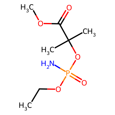 CCOP(N)(=O)OC(C)(C)C(=O)OC